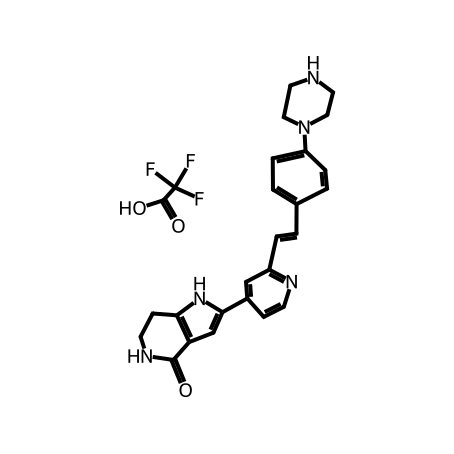 O=C(O)C(F)(F)F.O=C1NCCc2[nH]c(-c3ccnc(C=Cc4ccc(N5CCNCC5)cc4)c3)cc21